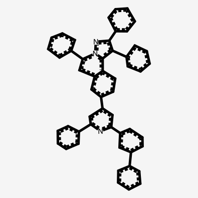 c1ccc(-c2cccc(-c3cc(-c4ccc5c(c4)cc(-c4ccccc4)n4nc(-c6ccccc6)c(-c6ccccc6)c54)cc(-c4ccccc4)n3)c2)cc1